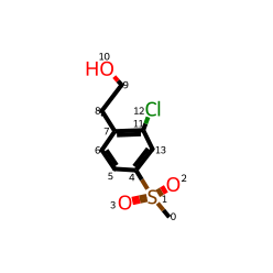 CS(=O)(=O)c1ccc([CH]CO)c(Cl)c1